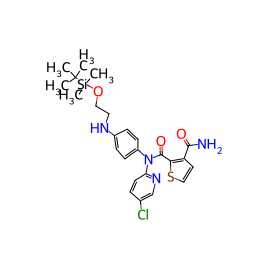 CC(C)(C)[Si](C)(C)OCCNc1ccc(N(C(=O)c2sccc2C(N)=O)c2ccc(Cl)cn2)cc1